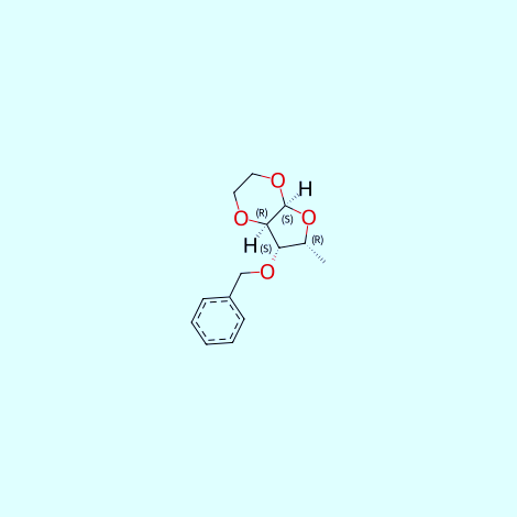 C[C@H]1O[C@@H]2OCCO[C@@H]2[C@H]1OCc1ccccc1